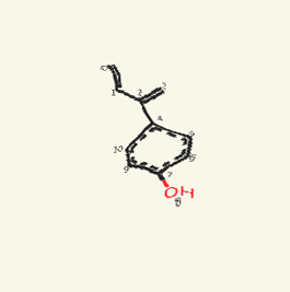 C=CC(=C)c1ccc(O)cc1